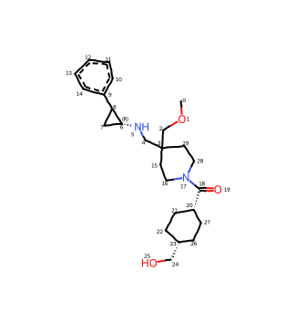 COCC1(CN[C@@H]2CC2c2ccccc2)CCN(C(=O)[C@H]2CC[C@@H](CO)CC2)CC1